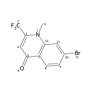 Cn1c(C(F)(F)F)cc(=O)c2ccc(Br)cc21